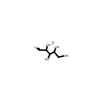 O=CC(O)C(O)C(O)CO.[Cr]